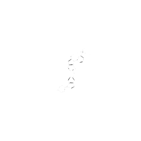 CCc1cc2cnc(Nc3ccc4c(ccn4C4CCN(C)CC4)c3)nc2n1-c1cccc(C(C)(C)O)n1